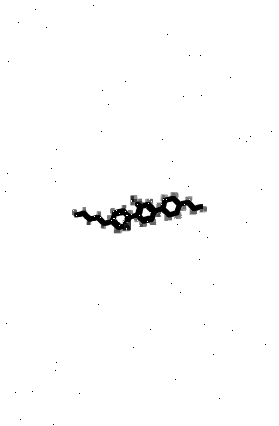 CCCCCc1ccc(-c2ccc(C3CCC(CCC)CC3)cc2F)nc1